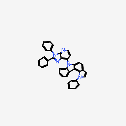 c1ccc(-c2nc3c(-n4c5ccccc5c5c6c(ccc54)ccn6-c4ccccc4)ccnc3n2-c2ccccc2)cc1